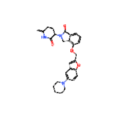 C=C1CCC(N2Cc3c(OCc4cc5cc(N6CCCCC6)ccc5o4)cccc3C2=O)C(=O)N1